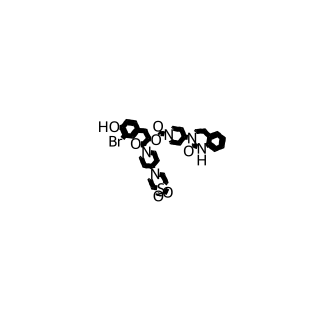 O=C(OC(Cc1ccc(O)c(Br)c1)C(=O)N1CCC(N2CCS(=O)(=O)CC2)CC1)N1CCC(N2CCc3ccccc3NC2=O)CC1